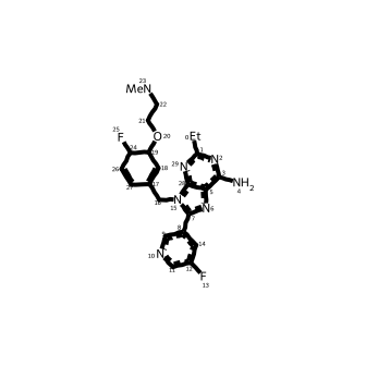 CCc1nc(N)c2nc(-c3cncc(F)c3)n(CC3=CC(OCCNC)C(F)C=C3)c2n1